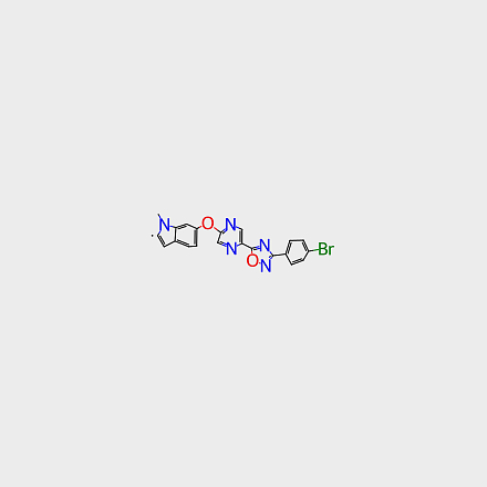 Cn1[c]cc2ccc(Oc3cnc(-c4nc(-c5ccc(Br)cc5)no4)cn3)cc21